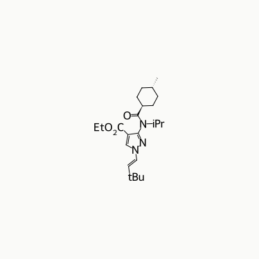 CCOC(=O)c1cn(C=CC(C)(C)C)nc1N(C(=O)[C@H]1CC[C@H](C)CC1)C(C)C